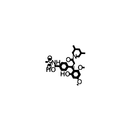 COc1cc(O)c([C@H](CC(=O)N2CC(C)CC(C)C2)c2ccc(C(O)NS(C)(=O)=O)cc2)c(OC)c1